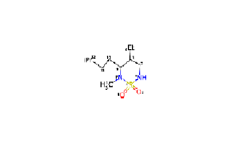 CCC1CNS(=O)(=O)N(C)C1CCC(C)C